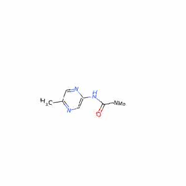 CNC(=O)Nc1cnc(C)cn1